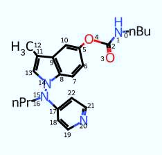 CCCCNC(=O)Oc1ccc2c(c1)c(C)cn2N(CCC)c1ccncc1